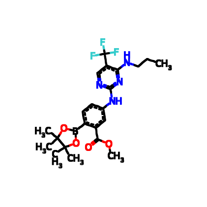 CCCNc1nc(Nc2ccc(B3OC(C)(C)C(C)(C)O3)c(C(=O)OC)c2)ncc1C(F)(F)F